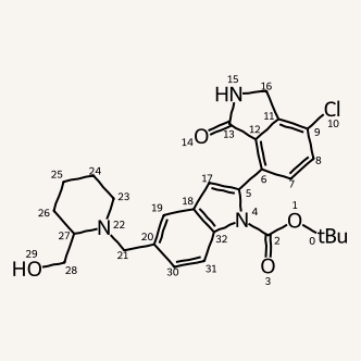 CC(C)(C)OC(=O)n1c(-c2ccc(Cl)c3c2C(=O)NC3)cc2cc(CN3CCCCC3CO)ccc21